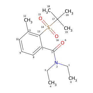 CCN(CC)C(=O)c1cccc(C)c1S(=O)(=O)C(C)(C)C